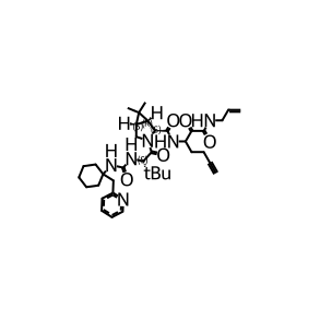 C#CCCC(NC(=O)[C@@H]1[C@@H]2[C@H](CN1C(=O)[C@@H](NC(=O)NC1(Cc3ccccn3)CCCCC1)C(C)(C)C)C2(C)C)C(=O)C(=O)NCC=C